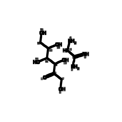 N=C(N)NN.O=C(CO)C(O)C(O)C(O)CO